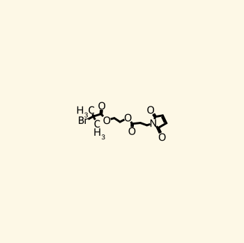 CC(C)(Br)C(=O)OCCOC(=O)CCN1C(=O)C=CC1=O